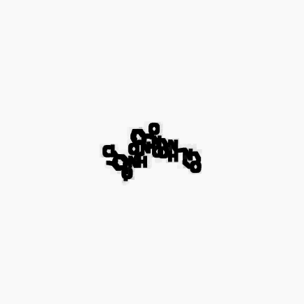 COc1cc(C)c(Cl)cc1NC(=O)Cn1c(=O)n(CC(=O)NCCN2CCOCC2)c(=O)c2ccccc21